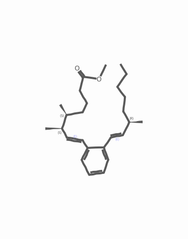 CCCCC[C@@H](C)/C=C/c1ccccc1/C=C/[C@@H](C)[C@@H](C)CCCC(=O)OC